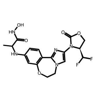 CC(Nc1ccc2c(c1)OCCn1cc(N3C(=O)OC[C@H]3C(F)F)nc1-2)C(=O)NO